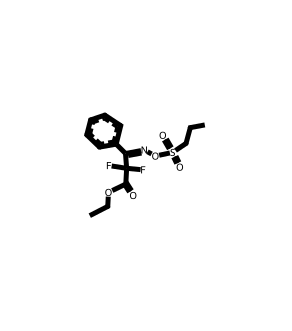 CCCS(=O)(=O)ON=C(c1ccccc1)C(F)(F)C(=O)OCC